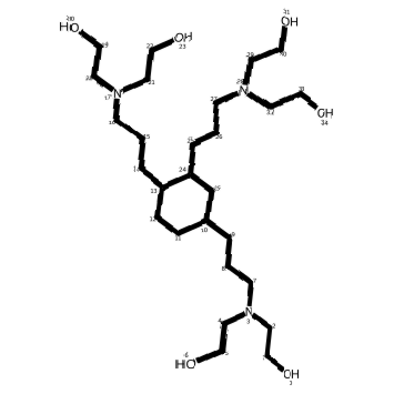 OCCN(CCO)CCCC1CCC(CCCN(CCO)CCO)C(CCCN(CCO)CCO)C1